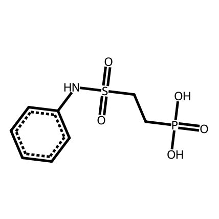 O=P(O)(O)CCS(=O)(=O)Nc1ccccc1